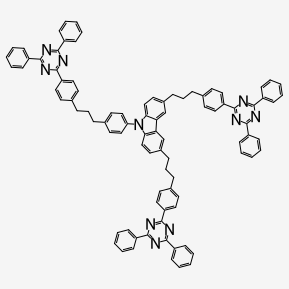 c1ccc(-c2nc(-c3ccccc3)nc(-c3ccc(CCCc4ccc(-n5c6ccc(CCCc7ccc(-c8nc(-c9ccccc9)nc(-c9ccccc9)n8)cc7)cc6c6cc(CCCc7ccc(-c8nc(-c9ccccc9)nc(-c9ccccc9)n8)cc7)ccc65)cc4)cc3)n2)cc1